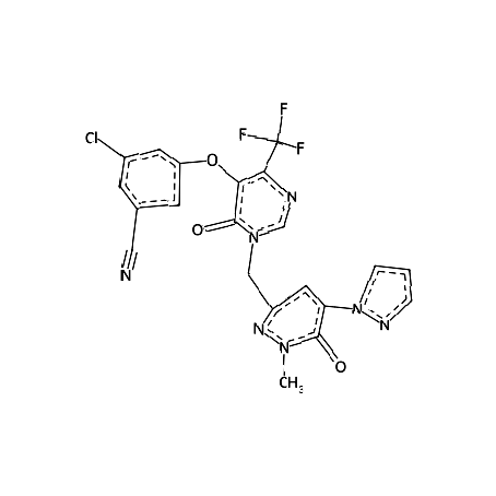 Cn1nc(Cn2cnc(C(F)(F)F)c(Oc3cc(Cl)cc(C#N)c3)c2=O)cc(-n2cccn2)c1=O